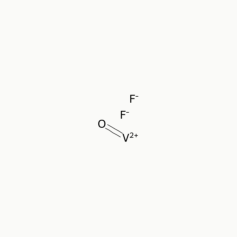 [F-].[F-].[O]=[V+2]